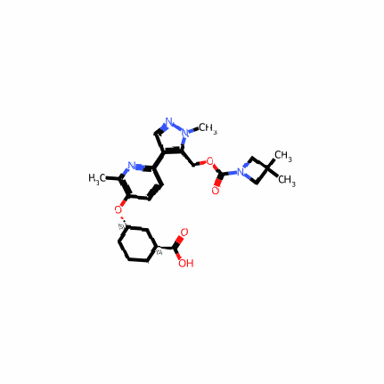 Cc1nc(-c2cnn(C)c2COC(=O)N2CC(C)(C)C2)ccc1O[C@H]1CCC[C@H](C(=O)O)C1